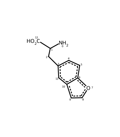 NC(Cc1ccc2occc2c1)C(=O)O